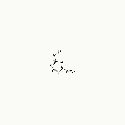 N#Cc1cccc(CI)c1